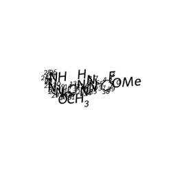 COC1=C(F)C=C(c2cnc3c(Nc4ccc(C(=O)N5CCN(C[C@H]6CCCN6)CC5)c(C)c4)nccn23)CC=C1